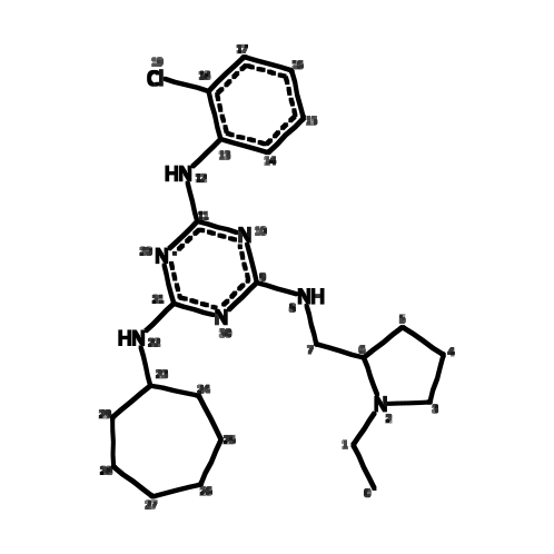 CCN1CCCC1CNc1nc(Nc2ccccc2Cl)nc(NC2CCCCCC2)n1